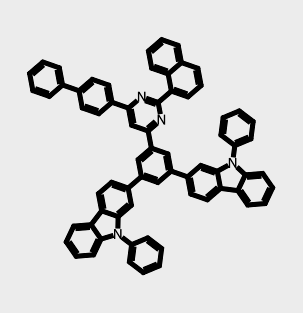 c1ccc(-c2ccc(-c3cc(-c4cc(-c5ccc6c7ccccc7n(-c7ccccc7)c6c5)cc(-c5ccc6c7ccccc7n(-c7ccccc7)c6c5)c4)nc(-c4cccc5ccccc45)n3)cc2)cc1